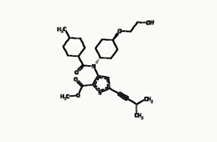 COC(=O)c1sc(C#CC(C)C)cc1N(C(=O)C1CCC(C)CC1)[C@H]1CC[C@H](OCCO)CC1